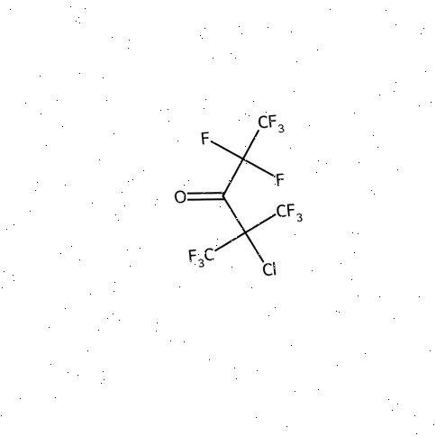 O=C(C(F)(F)C(F)(F)F)C(Cl)(C(F)(F)F)C(F)(F)F